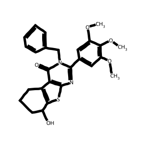 COc1cc(-c2nc3sc4c(c3c(=O)n2Cc2ccccc2)CCCC4O)cc(OC)c1OC